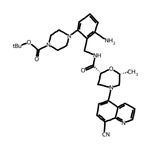 C[C@@H]1CN(c2ccc(C#N)c3ncccc23)C[C@H](C(=O)NCc2c(N)cccc2N2CCN(C(=O)OC(C)(C)C)CC2)O1